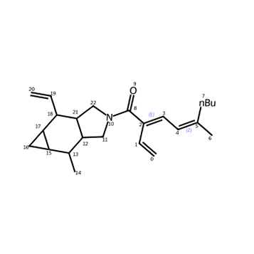 C=C/C(=C\C=C(\C)CCCC)C(=O)N1CC2C(C)C3CC3C(C=C)C2C1